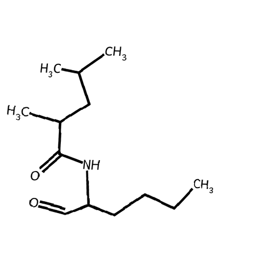 CCCCC(C=O)NC(=O)C(C)CC(C)C